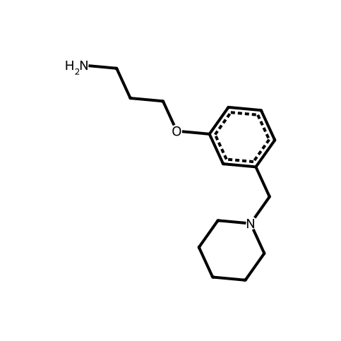 NCCCOc1cccc(CN2CCCCC2)c1